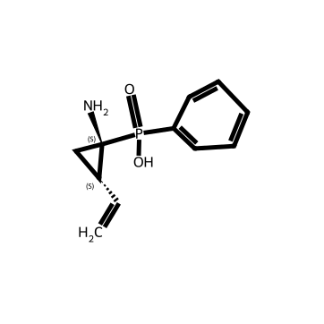 C=C[C@@H]1C[C@]1(N)P(=O)(O)c1ccccc1